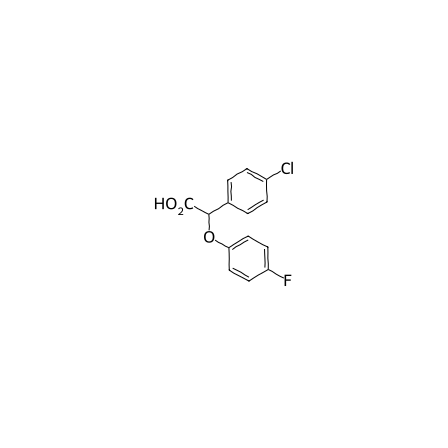 O=C(O)C(Oc1ccc(F)cc1)c1ccc(Cl)cc1